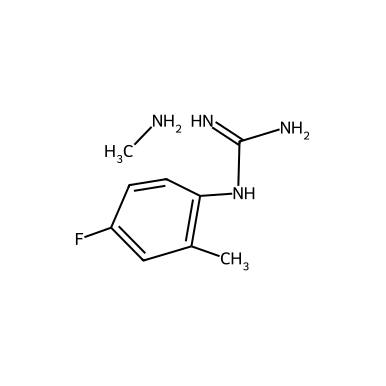 CN.Cc1cc(F)ccc1NC(=N)N